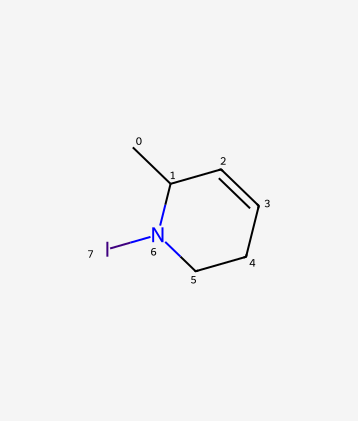 CC1C=CCCN1I